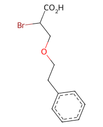 O=C(O)C(Br)COCCc1ccccc1